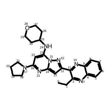 CCc1nc2ccccc2nc1-c1cc2nc(N3CCCC3)cc(NC3CCOCC3)n2n1